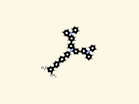 Cc1cc(C)cc(-c2ccc(-c3ccc(-c4ccc(-n5c6ccc(-c7ccc8c(c7)c7ccccc7n8-c7ccccc7)cc6c6cc(-c7ccc8c(c7)c7ccccc7n8-c7ccccc7)ccc65)cc4)cc3)cc2)c1